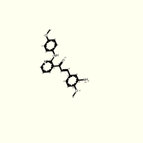 COc1ccc(Nc2ncccc2C(=O)C=Cc2ccc(OC)c(N)c2)cc1